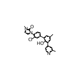 Cc1cc(-c2ccnc(C)c2)c(O)c(-c2ccc(-n3ccn(C)c3=O)c(Cl)c2)c1